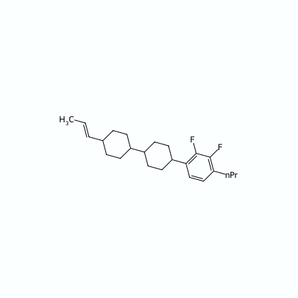 C/C=C/C1CCC(C2CCC(c3ccc(CCC)c(F)c3F)CC2)CC1